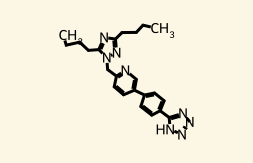 CCCCc1nc(CCCC)n(Cc2ccc(-c3ccc(-c4nnn[nH]4)cc3)cn2)n1